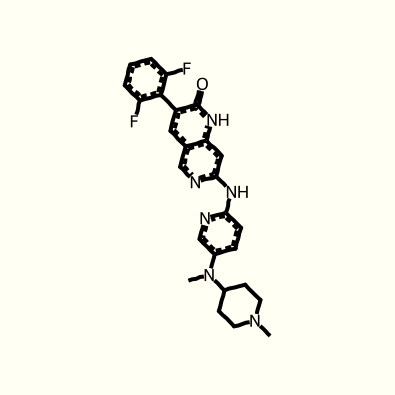 CN1CCC(N(C)c2ccc(Nc3cc4[nH]c(=O)c(-c5c(F)cccc5F)cc4cn3)nc2)CC1